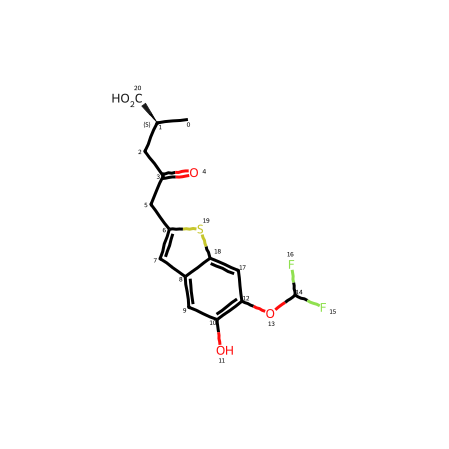 C[C@@H](CC(=O)Cc1cc2cc(O)c(OC(F)F)cc2s1)C(=O)O